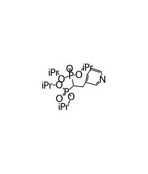 CC(C)OP(=O)(OC(C)C)C(Cc1cccnc1)P(=O)(OC(C)C)OC(C)C